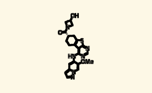 COc1cn2nccc2cc1Nc1ncnc2sc3c(c12)CC[C@H](C(=O)N1CC(O)C1)C3